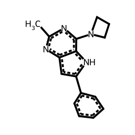 Cc1nc(N2CCC2)c2[nH]c(-c3ccccc3)cc2n1